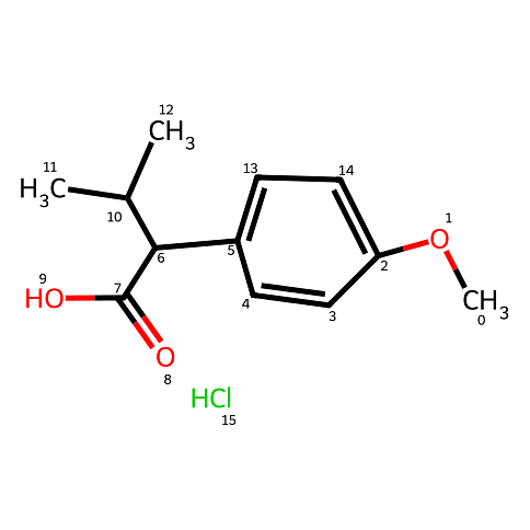 COc1ccc(C(C(=O)O)C(C)C)cc1.Cl